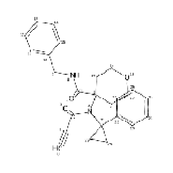 C#CC(=O)N(C1(C(=O)NCc2ccccc2)CCOCC1)C1(c2ccccc2)CC1